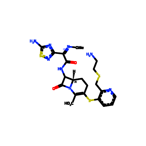 CO/N=C(\C(=O)NC1C(=O)N2C(C(=O)O)=C(Sc3cccnc3CSCCN)CC[C@H]12)c1nsc(N)n1